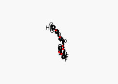 O=C1CCC(c2ccc(OCC3CCN(C(=O)CCCCCCCOc4c(-c5csc(N6CCOCC6)n5)ccc(F)c4F)CC3)cc2)C(=O)N1